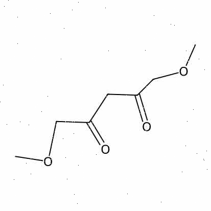 COCC(=O)CC(=O)COC